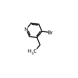 CCc1cnccc1Br